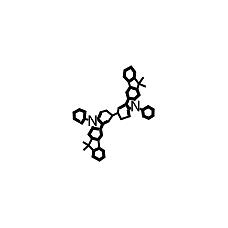 CC1(C)c2ccccc2-c2cc3c4c(n(-c5ccccc5)c3cc21)=CCC(C1C=c2c(n(-c3ccccc3)c3cc5c(cc23)-c2ccccc2C5(C)C)=CC1)C=4